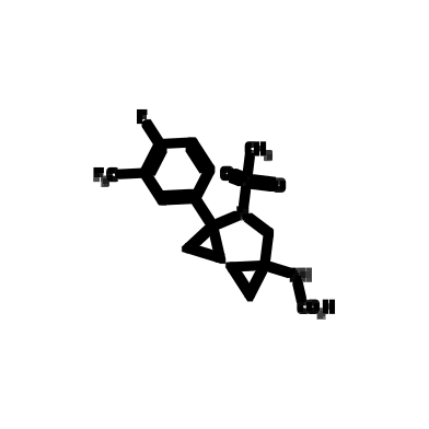 CS(=O)(=O)N(CC1(NC(=O)O)CC1)C1(c2ccc(F)c(C(F)(F)F)c2)CC1